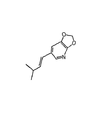 CC(C)/C=C/c1cnc2c(c1)OCO2